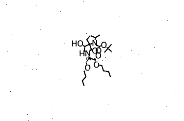 CCCCOC[C@H](NC(=O)C1(C(C)O)CCC(C)N1C(=O)OC(C)(C)C)C(=O)OCCCC